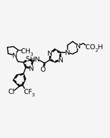 C[C@@H]1CCCN1Cc1sc(NC(=O)c2cnc(N3CCN(CC(=O)O)CC3)cn2)nc1-c1ccc(Cl)c(C(F)(F)F)c1